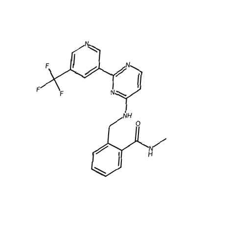 CNC(=O)c1ccccc1CNc1ccnc(-c2cncc(C(F)(F)F)c2)n1